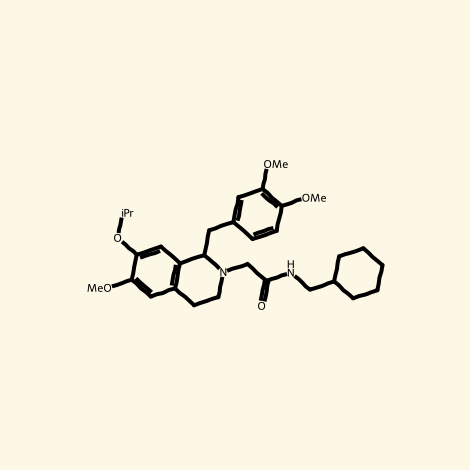 COc1ccc(CC2c3cc(OC(C)C)c(OC)cc3CCN2CC(=O)NCC2CCCCC2)cc1OC